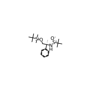 CC(C)(C)[S+]([O-])N[C@](C)(CO[Si](C)(C)C(C)(C)C)c1ccccc1